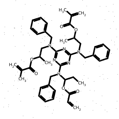 C=CC(=O)OC(CC)N(Cc1ccccc1)c1nc(N(Cc2ccccc2)CC(C)OC(=O)C(=C)C)nc(N(Cc2ccccc2)CC(C)OC(=O)C(=C)C)n1